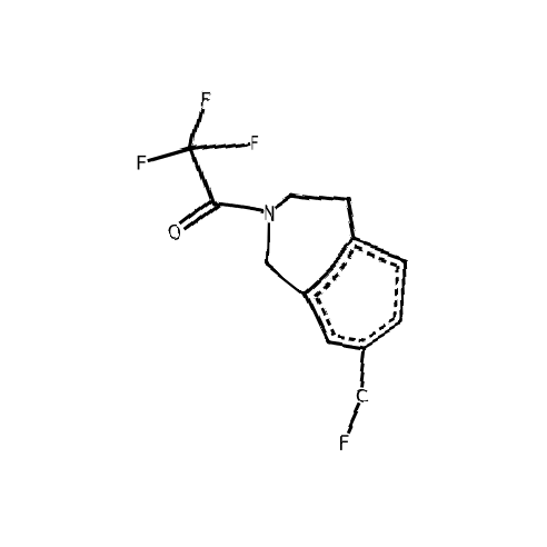 O=C(N1CCc2ccc(CF)cc2C1)C(F)(F)F